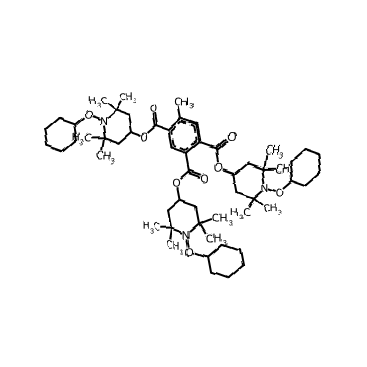 Cc1cc(C(=O)OC2CC(C)(C)N(OC3CCCCC3)C(C)(C)C2)c(C(=O)OC2CC(C)(C)N(OC3CCCCC3)C(C)(C)C2)cc1C(=O)OC1CC(C)(C)N(OC2CCCCC2)C(C)(C)C1